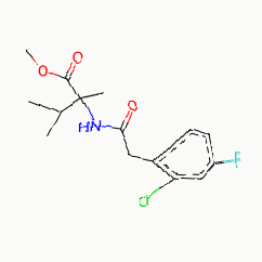 COC(=O)C(C)(NC(=O)Cc1ccc(F)cc1Cl)C(C)C